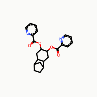 O=C(OC1CC2C3CCC(C3)C2CC1OC(=O)c1ccccn1)c1ccccn1